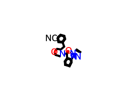 N#Cc1cccc(CC2COCCN2C(=O)c2ccccc2-n2nccn2)c1